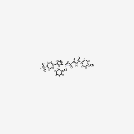 CS(=O)(=O)c1ccc(-c2nnc(/C=C/C(=O)NNC(=O)c3ccc(C#N)cc3)n2-c2ccccc2Cl)nc1